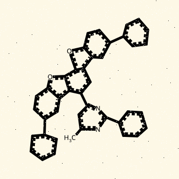 Cc1cc(-c2cc3c4cc(-c5ccccc5)ccc4oc3c3oc4ccc(-c5ccccc5)cc4c23)nc(-c2ccccc2)n1